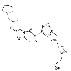 Cc1ncc(NC(=O)CN2CCCCC2)cc1NC(=O)c1cnn2cc(-c3cnn(CCO)c3)sc12